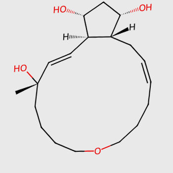 C[C@@]1(O)/C=C/[C@@H]2[C@@H](C/C=C\CCCOCCCC1)[C@@H](O)C[C@H]2O